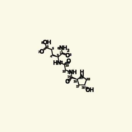 NC(=O)[C@H](CCC(=O)O)NC(=O)CNC(=O)[C@@H]1C[C@@H](O)CN1